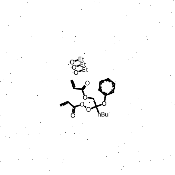 C=CC(=O)OCC(CCCC)(OOC(=O)C=C)Oc1ccccc1.[CH2]C[O].[CH2]C[O].[CH2]C[O]